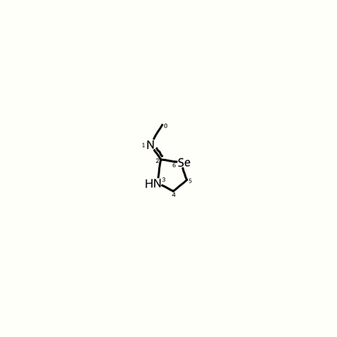 CN=C1NCC[Se]1